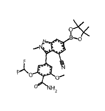 COc1cc(-c2c3c(C#N)cc(B4OC(C)(C)C(C)(C)O4)cc3nn2C)cc(OC(F)F)c1C(N)=O